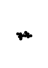 C1=Cc2c(sc3c(N(c4ccc5c(c4)sc4cc(N(c6cccc7c6sc6ccccc67)c6cccc7c6sc6ccccc67)ccc45)c4cccc5c4sc4ccccc45)cccc23)CC1